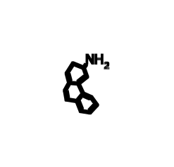 NC1C=c2c(ccc3ccccc23)=CC1